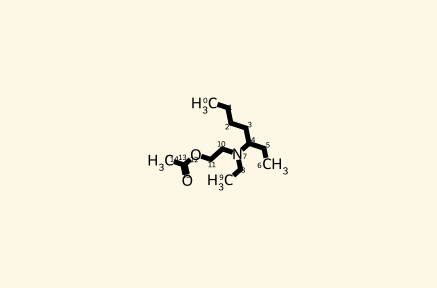 CCCCC(CC)N(CC)CCOC(C)=O